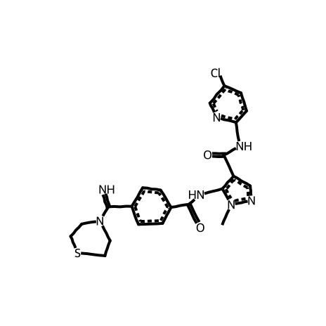 Cn1ncc(C(=O)Nc2ccc(Cl)cn2)c1NC(=O)c1ccc(C(=N)N2CCSCC2)cc1